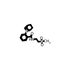 CS(=O)(=O)CCNC(=O)c1ccccc1N1CC2CCC1C2